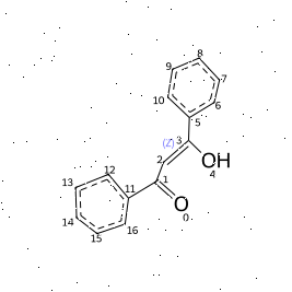 O=C(/C=C(\O)c1ccccc1)c1ccccc1